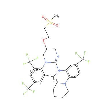 CCN1CC(OCCS(C)(=O)=O)=CN=C1N(c1cc(C(F)(F)F)ccc1N1CCCCC1)C(C)c1cc(C(F)(F)F)cc(C(F)(F)F)c1